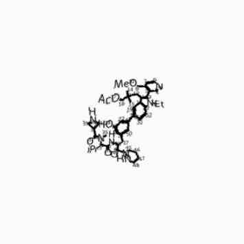 CCn1c(-c2cnccc2COC)c(CC(C)(C)COC(C)=O)c2cc(-c3cc(O)cc(C[C@H](NC(=O)[C@H](C(C)C)N(C)C(=O)C4CNC4)C(=O)N4CCCCN4)c3)ccc21